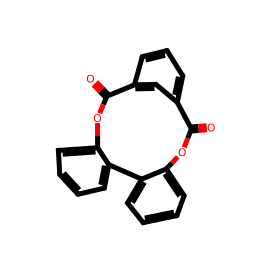 O=C1Oc2ccccc2-c2ccccc2OC(=O)c2cccc1c2